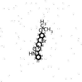 CC(C)Oc1ccc(Br)c(CC2CCN(CC3C(=O)Nc4ccccc43)CC2)c1